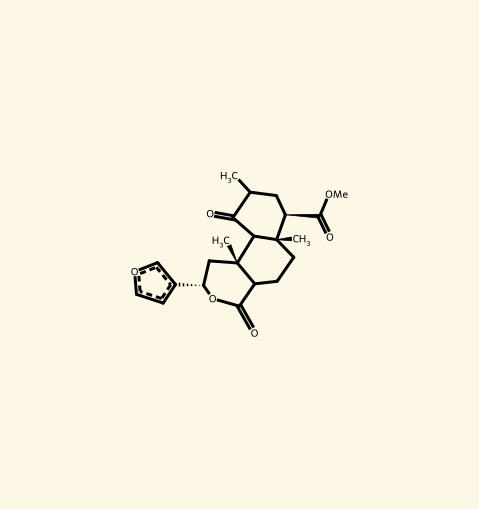 COC(=O)[C@@H]1CC(C)C(=O)C2[C@@]3(C)C[C@@H](c4ccoc4)OC(=O)C3CC[C@]21C